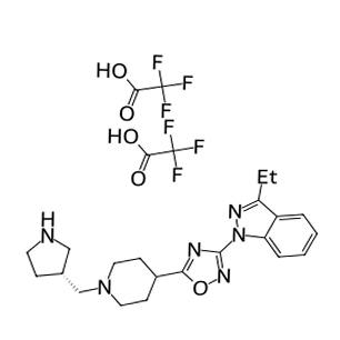 CCc1nn(-c2noc(C3CCN(C[C@@H]4CCNC4)CC3)n2)c2ccccc12.O=C(O)C(F)(F)F.O=C(O)C(F)(F)F